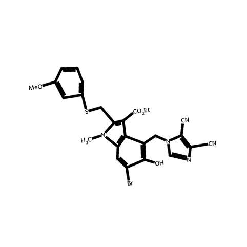 CCOC(=O)c1c(CSc2cccc(OC)c2)n(C)c2cc(Br)c(O)c(Cn3cnc(C#N)c3C#N)c12